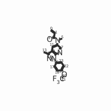 C=CC(=O)N(C)c1cnc2c(c1)c(C)nn2-c1ccc(OC(F)(F)F)cc1